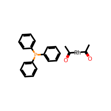 C[C](=O)[Rh][C](C)=O.c1ccc(P(c2ccccc2)c2ccccc2)cc1